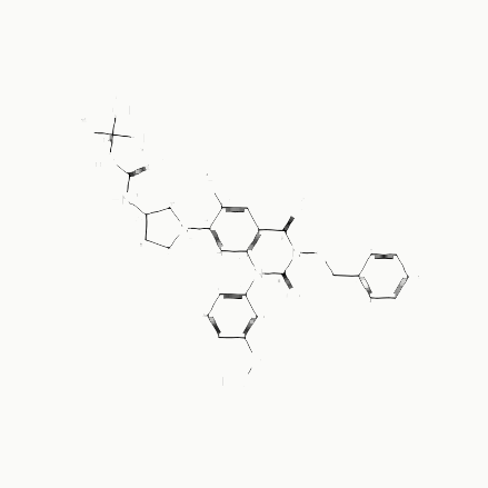 COc1cccc(-n2c(=O)n(OCc3ccccc3)c(=O)c3cc(F)c(N4CCC(NC(=O)OC(C)(C)C)C4)cc32)c1